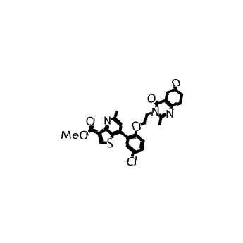 COC(=O)c1csc2c(-c3cc(Cl)ccc3OCCn3c(C)nc4c(c3=O)CC(=O)CC4)cc(C)nc12